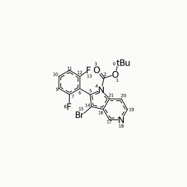 CC(C)(C)OC(=O)n1c(-c2c(F)cccc2F)c(Br)c2cnccc21